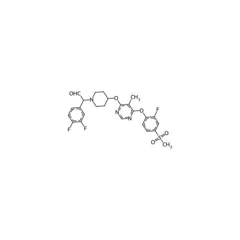 Cc1c(Oc2ccc(S(C)(=O)=O)cc2F)ncnc1OC1CCN(C(C=O)c2ccc(F)c(F)c2)CC1